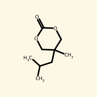 CC(C)CC1(C)COC(=O)OC1